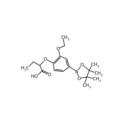 CCOc1cc(B2OC(C)(C)C(C)(C)O2)ccc1OC(CC)C(=O)O